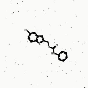 O=C(Nc1ccccc1)OCc1cc2cc(Br)ccc2s1